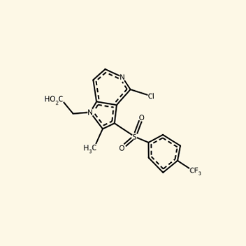 Cc1c(S(=O)(=O)c2ccc(C(F)(F)F)cc2)c2c(Cl)nccc2n1CC(=O)O